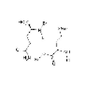 CSCC[C@H](NCl)C(=O)OBr.NC(=O)CC[C@@H](C(=O)O)N(Cl)Br